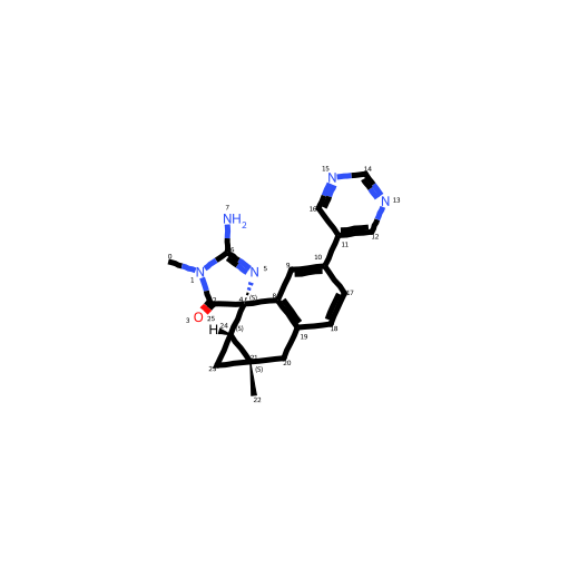 CN1C(=O)[C@@]2(N=C1N)c1cc(-c3cncnc3)ccc1C[C@]1(C)C[C@@H]12